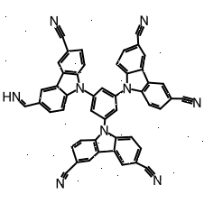 N#Cc1ccc2c(c1)c1cc(C#N)ccc1n2-c1cc(-n2c3ccc(C#N)cc3c3cc(C#N)ccc32)cc(-n2c3ccc(C#N)cc3c3cc(C=N)ccc32)c1